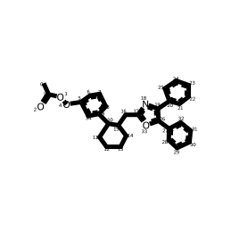 CC(=O)OOc1cccc(C2CCCCC2Cc2nc(-c3ccccc3)c(-c3ccccc3)o2)c1